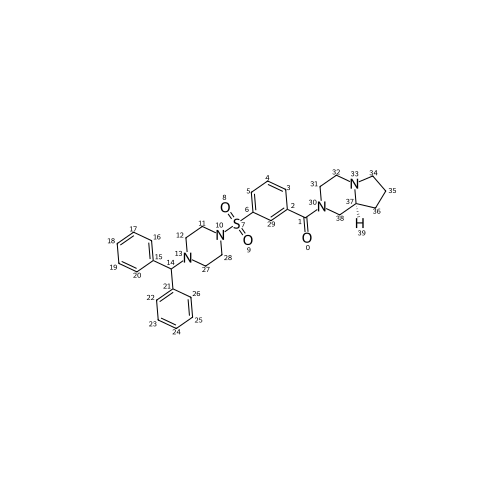 O=C(c1cccc(S(=O)(=O)N2CCN(C(c3ccccc3)c3ccccc3)CC2)c1)N1CCN2CCC[C@H]2C1